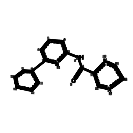 O=C(Nc1cccc(-c2ccccc2)n1)c1cnccn1